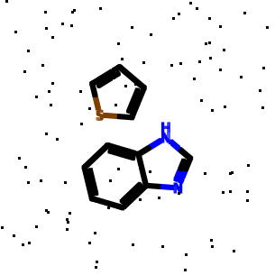 c1ccc2[nH]cnc2c1.c1ccsc1